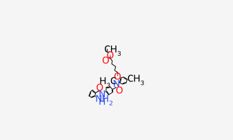 CCOC(=O)CCCCCOc1cc(C)ccc1N(C)C(=O)c1ccc(NC(=O)c2ccccc2N)cc1